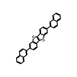 c1ccc2cc(-c3ccc4c(c3)sc3c5ccc(-c6ccc7ccccc7c6)cc5sc43)ccc2c1